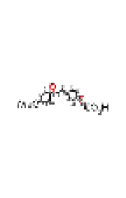 COc1ccc(C(=O)C=Cc2ccc(OCC(=O)O)cc2)cc1